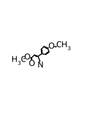 CCOc1ccc(C(C#N)=CC(=O)OC)cc1